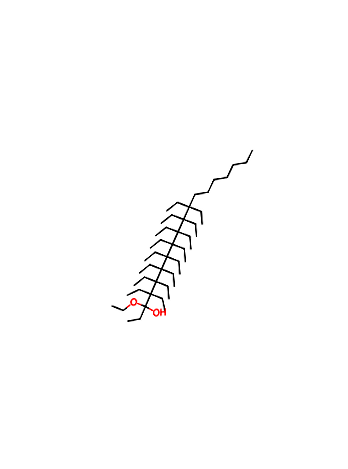 CCCCCCCC(CC)(CC)C(CC)(CC)C(CC)(CC)C(CC)(CC)C(CC)(CC)C(CC)(CC)C(CC)(CC)C(CC)(CC)C(O)(CC)OCC